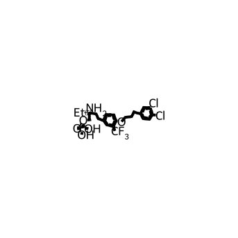 CC[C@](N)(CCc1ccc(OCCCc2ccc(Cl)c(Cl)c2)c(C(F)(F)F)c1)COP(=O)(O)O